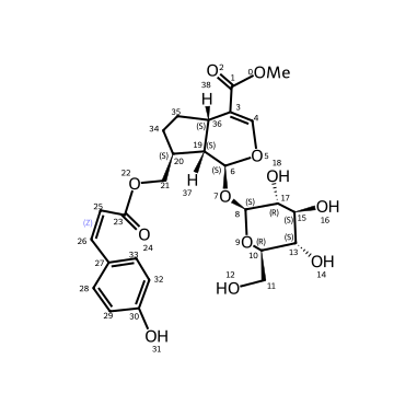 COC(=O)C1=CO[C@@H](O[C@@H]2O[C@H](CO)[C@@H](O)[C@H](O)[C@H]2O)[C@@H]2[C@@H](COC(=O)/C=C\c3ccc(O)cc3)CC[C@H]12